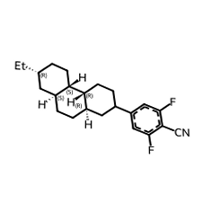 CC[C@@H]1CC[C@H]2[C@@H](CC[C@@H]3CC(c4cc(F)c(C#N)c(F)c4)CC[C@H]32)C1